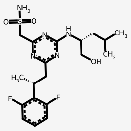 CC(C)C[C@H](CO)Nc1nc(C[C@@H](C)c2c(F)cccc2F)nc(CS(N)(=O)=O)n1